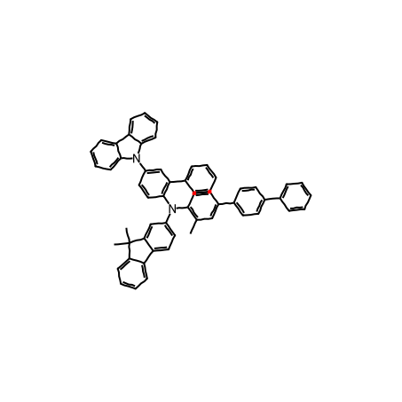 Cc1cc(-c2ccc(-c3ccccc3)cc2)ccc1N(c1ccc2c(c1)C(C)(C)c1ccccc1-2)c1ccc(-n2c3ccccc3c3ccccc32)cc1-c1ccccc1